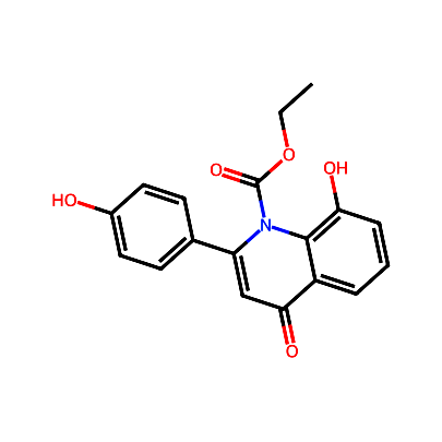 CCOC(=O)n1c(-c2ccc(O)cc2)cc(=O)c2cccc(O)c21